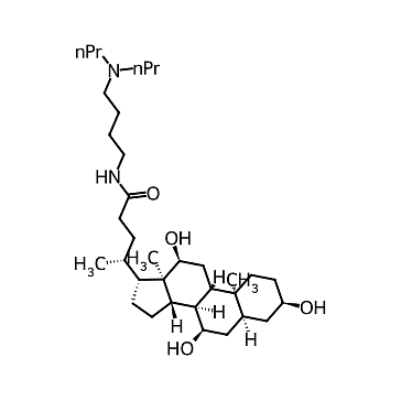 CCCN(CCC)CCCCNC(=O)CC[C@@H](C)[C@H]1CC[C@H]2[C@@H]3[C@H](O)C[C@@H]4C[C@H](O)CC[C@]4(C)[C@H]3C[C@H](O)[C@]12C